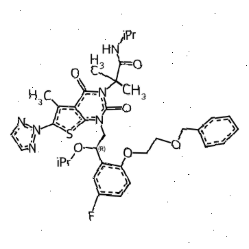 Cc1c(-n2nccn2)sc2c1c(=O)n(C(C)(C)C(=O)NC(C)C)c(=O)n2C[C@H](OC(C)C)c1cc(F)ccc1OCCOCc1ccccc1